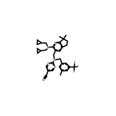 Cc1cc(CN(Cc2cc3c(nc2N(CC2CC2)CC2CC2)C(C)(C)CC3)c2ncc(C#N)cn2)cc(C(F)(F)F)c1